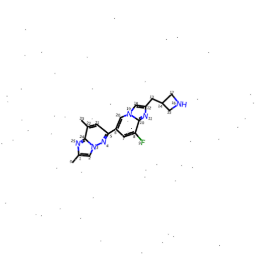 Cc1cn2nc(-c3cc(F)c4nc(CC5CNC5)cn4c3)cc(C)c2n1